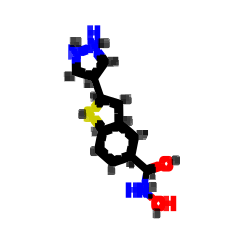 O=C(NO)c1ccc2sc(-c3cn[nH]c3)cc2c1